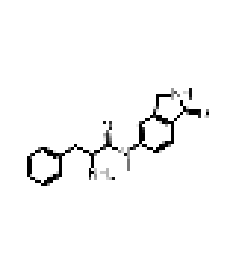 NC(Cc1ccccc1)C(=O)Nc1ccc2c(c1)CNC2=O